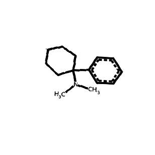 CN(C)C1(c2ccccc2)CC[CH]CC1